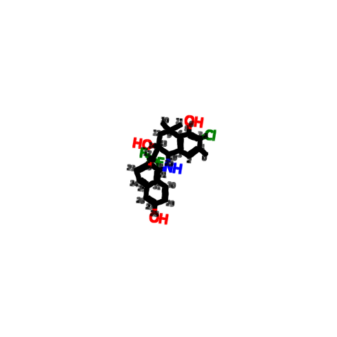 Cc1cc2c(c(O)c1Cl)C(C)(C)CC(O)(C(F)(F)F)C2Nc1cccc2cc(O)ccc12